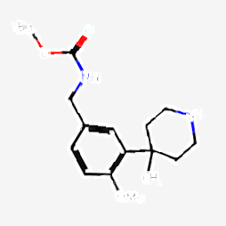 COc1ccc(CNC(=O)OC(C)(C)C)cc1C1(C)CCNCC1